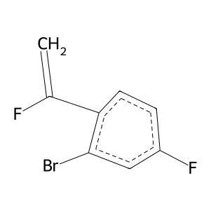 C=C(F)c1ccc(F)cc1Br